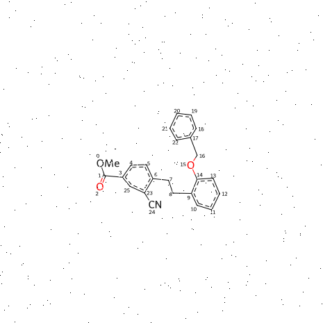 COC(=O)c1ccc(CCc2ccccc2OCc2ccccc2)c(C#N)c1